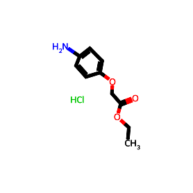 CCOC(=O)COc1ccc(N)cc1.Cl